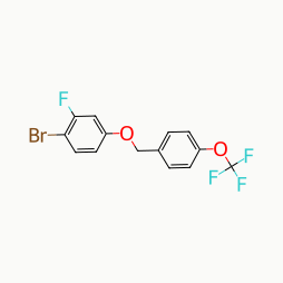 Fc1cc(OCc2ccc(OC(F)(F)F)cc2)ccc1Br